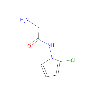 NCC(=O)Nn1cccc1Cl